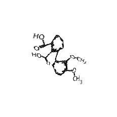 COc1cccc(-c2cccc(C(=O)O)c2C(=O)O)c1OC